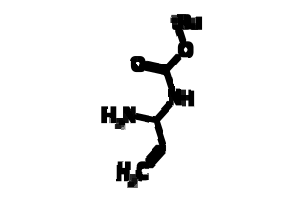 C=CC(N)NC(=O)OC(C)(C)C